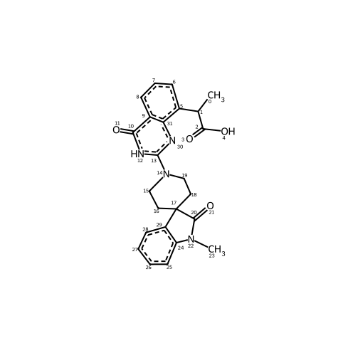 CC(C(=O)O)c1cccc2c(=O)[nH]c(N3CCC4(CC3)C(=O)N(C)c3ccccc34)nc12